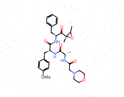 COc1ccc(C[C@H](NC(=O)[C@H](C)NC(=O)CN2CCOCC2)C(=O)N[C@@H](Cc2ccccc2)C(=O)[C@@]2(C)OC2C)cc1